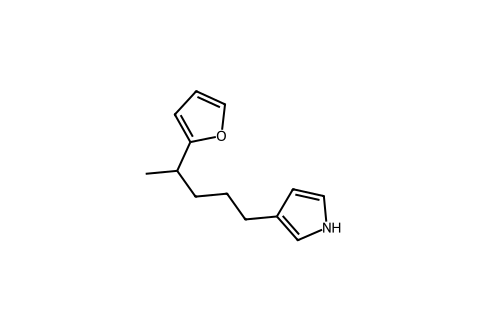 CC(CCCc1cc[nH]c1)c1ccco1